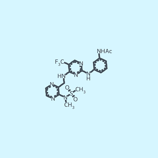 CC(=O)Nc1cccc(Nc2ncc(C(F)(F)F)c(NCc3nccnc3N(C)S(C)(=O)=O)n2)c1